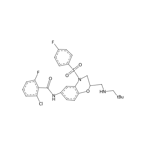 CC(C)(C)CNCC1CN(S(=O)(=O)c2ccc(F)cc2)c2cc(NC(=O)c3c(F)cccc3Cl)ccc2O1